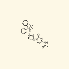 CC(=O)Nc1ccn([C@@H]2CO[C@@H](CO[Si](c3ccccc3)(c3ccccc3)C(C)(C)C)S2)c(=O)n1